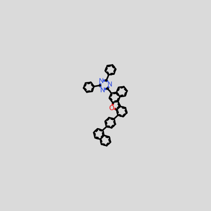 c1ccc(-c2nc(-c3ccccc3)nc(-c3cc4oc5c(-c6ccc(-c7cccc8ccccc78)cc6)cccc5c4c4ccccc34)n2)cc1